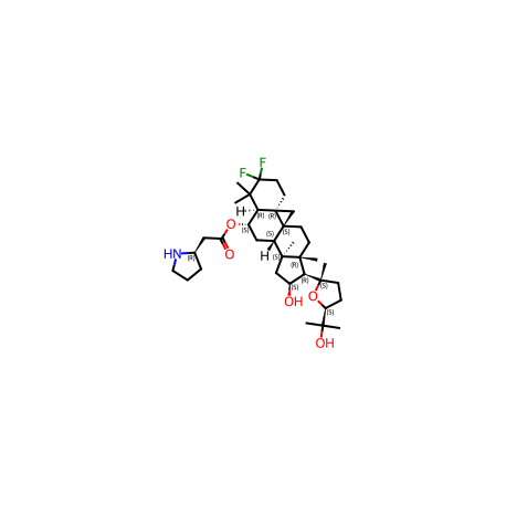 CC(C)(O)[C@@H]1CC[C@@](C)([C@H]2[C@@H](O)C[C@@]3(C)[C@@H]4C[C@H](OC(=O)C[C@H]5CCCN5)[C@H]5C(C)(C)C(F)(F)CC[C@@]56C[C@@]46CC[C@]23C)O1